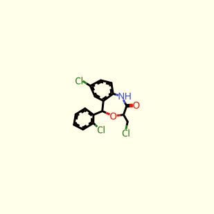 O=C1Nc2ccc(Cl)cc2C(c2ccccc2Cl)OC1CCl